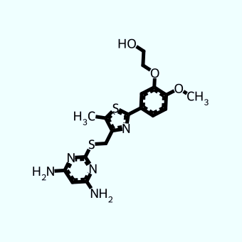 COc1ccc(-c2nc(CSc3nc(N)cc(N)n3)c(C)s2)cc1OCCO